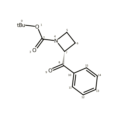 CC(C)(C)OC(=O)N1CC[C@@H]1C(=O)c1ccccc1